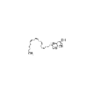 CCCCC/C=C\C/C=C\C/C=C\C/C=C\CCCC(=O)NC(CC(=O)O)C(=O)O